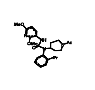 COc1ccc(NC(=O)N(c2ccccc2C(C)C)C2CCN(C(C)=O)CC2)c(OC)n1